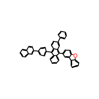 c1ccc(-c2ccc3c(-c4ccc(-c5ccc6ccccc6c5)cc4)c4ccccc4c(-c4ccc5oc6ccccc6c5c4)c3c2)cc1